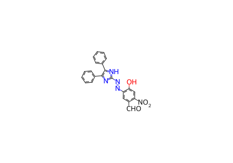 O=Cc1cc(N=Nc2nc(-c3ccccc3)c(-c3ccccc3)[nH]2)c(O)cc1[N+](=O)[O-]